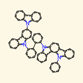 c1ccc(-n2c3ccccc3c3ccc4c(c5ccccc5n4-c4ccccc4-c4ccccc4-n4c5ccccc5c5cc(-n6c7ccccc7c7ccccc76)ccc54)c32)cc1